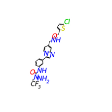 NN(CC(F)(F)F)C(=O)Nc1cccc(-c2cnc3cc(CNOCc4ccc(Cl)s4)ccn23)c1